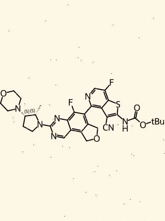 C[C@H]1[C@@H](N2CCOCC2)CCN1c1ncc2c3c(c(-c4ncc(F)c5sc(NC(=O)OC(C)(C)C)c(C#N)c45)c(F)c2n1)COC3